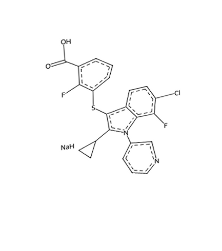 O=C(O)c1cccc(Sc2c(C3CC3)n(-c3cccnc3)c3c(F)c(Cl)ccc23)c1F.[NaH]